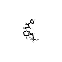 NN(C(=O)C1CNC1)C(=O)[C@H]1CC[C@H]2CN1C(=O)N2OS(=O)(=O)O